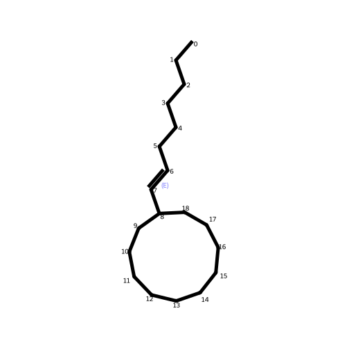 CCCCCC/C=C/C1CCCCCCCCCC1